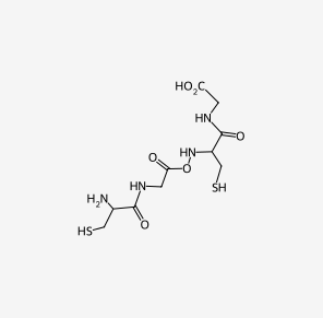 NC(CS)C(=O)NCC(=O)ONC(CS)C(=O)NCC(=O)O